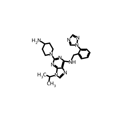 CC(C)n1cnc2c(NCc3ccccc3-n3cncn3)nc(N3CCC(N)CC3)nc21